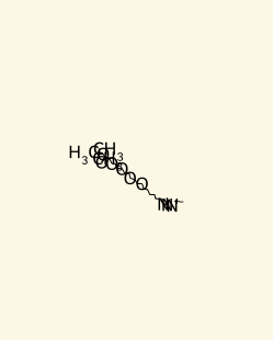 CC(C)(C)OC(=O)COCCOCCOCCOCCCCCCN=[N+]=[N-]